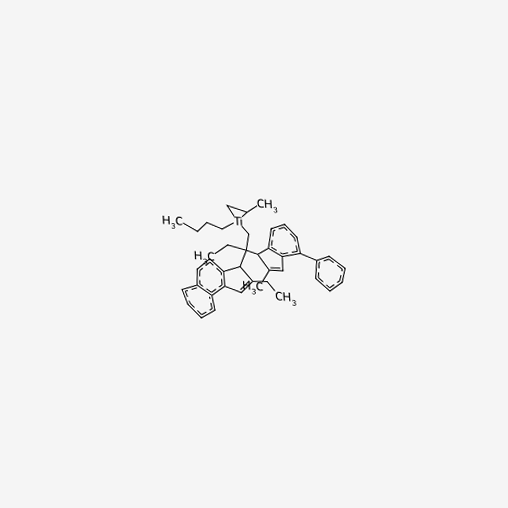 CCC[CH2][Ti]1([CH2]C(CC)(C2C(C)=Cc3c(-c4ccccc4)cccc32)C2C(CC)=Cc3c2ccc2ccccc32)[CH2][CH]1C